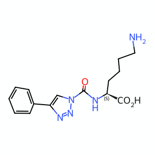 NCCCC[C@H](NC(=O)n1cc(-c2ccccc2)nn1)C(=O)O